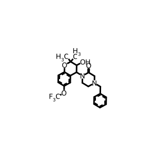 CC1(C)Oc2ccc(OC(F)(F)F)cc2C(N2CCN(Cc3ccccc3)CC2=O)C1O